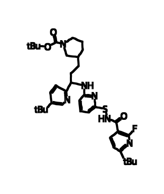 CC(C)(C)OC(=O)N1CCCC(CCC(Nc2cccc(SNC(=O)c3ccc(C(C)(C)C)nc3F)n2)c2ccc(C(C)(C)C)cn2)C1